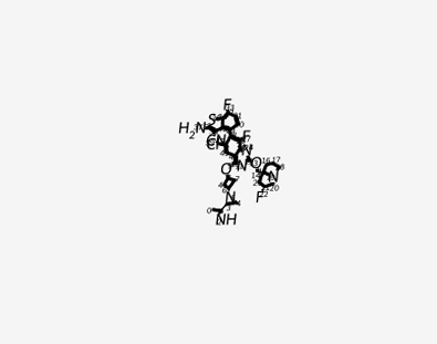 CC(=N)[C@@H]1C[N@]1C1CC(Oc2nc(OC[C@@]34CCCN3C[C@H](F)C4)nc3c(F)c(-c4ccc(F)c5sc(N)c(C#N)c45)c(Cl)cc23)C1